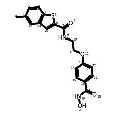 Cc1ccc2sc(C(=O)NCCOc3ccc(C(=O)NO)cc3)cc2c1